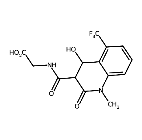 CN1C(=O)C(C(=O)NCC(=O)O)C(O)c2c1cccc2C(F)(F)F